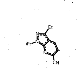 CCc1nn(C(C)C)c2nc(C#N)ccc12